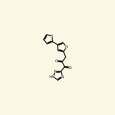 O=C(Cc1cc(-c2cccs2)co1)C(=O)c1nc[nH]n1